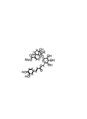 COC(=O)C1=CO[C@@H](O[C@@H]2O[C@H](COC(=O)/C=C/c3ccc(O)c(O)c3)[C@@H](O)[C@H](O)[C@H]2O)[C@H]2[C@@H]1CC[C@]2(C)O